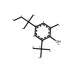 CCC(C)(C)c1cc(C)c(O)c(C(C)(C)C)c1